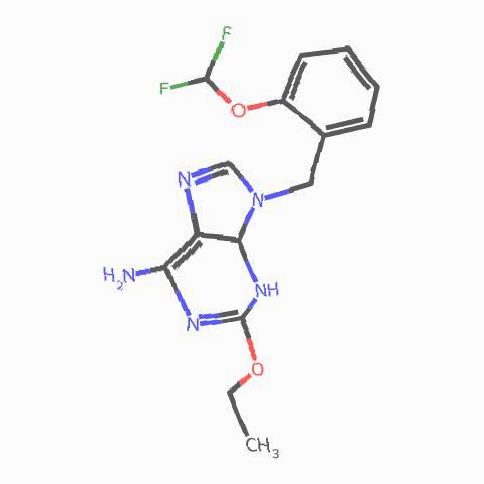 CCOC1=NC(N)=C2N=CN(Cc3ccccc3OC(F)F)C2N1